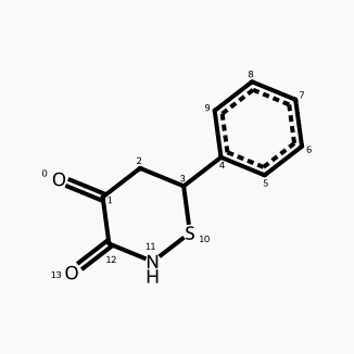 O=C1CC(c2ccccc2)SNC1=O